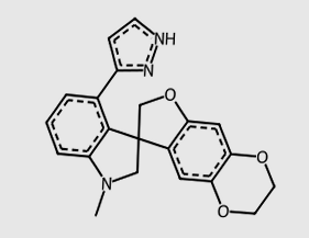 CN1CC2(COc3cc4c(cc32)OCCO4)c2c(-c3cc[nH]n3)cccc21